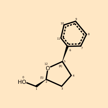 OC[C@@H]1CC[C@H](c2ccccc2)O1